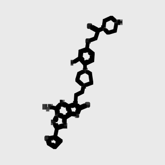 Nc1nc2c(sc(=O)n2CCN2CCN(c3ccc(OCC(=O)N4CCNCC4)cc3F)CC2)c2nc(-c3ccco3)nn12